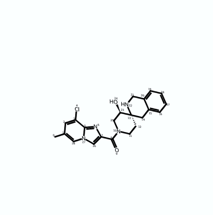 Cc1cc(Cl)c2nc(C(=O)N3CC[C@]4(Cc5ccccc5CN4)[C@H](O)C3)cn2c1